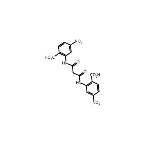 O=C(CC(=O)Nc1cc([N+](=O)[O-])ccc1C(=O)O)Nc1cc([N+](=O)[O-])ccc1C(=O)O